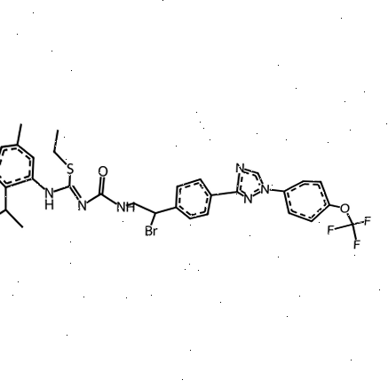 CCS/C(=N\C(=O)NCC(Br)c1ccc(-c2ncn(-c3ccc(OC(F)(F)F)cc3)n2)cc1)Nc1cc(C)ccc1C(C)C